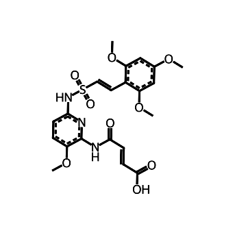 COc1cc(OC)c(/C=C/S(=O)(=O)Nc2ccc(OC)c(NC(=O)/C=C/C(=O)O)n2)c(OC)c1